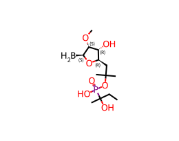 B[C@@H]1O[C@H](CC(C)(C)OP(=O)(O)C(C)(O)CC)[C@@H](O)[C@H]1OC